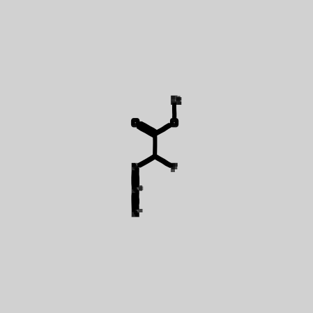 CCOC(=O)C(F)N=[N+]=[N-]